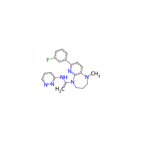 C=C(Nc1cccnn1)N1CCCN(C)c2ccc(-c3cccc(F)c3)nc21